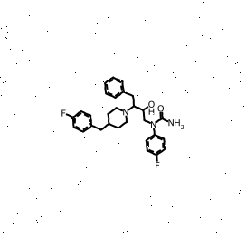 NC(=O)N(CC(O)C(Cc1ccccc1)N1CCC(Cc2ccc(F)cc2)CC1)c1ccc(F)cc1